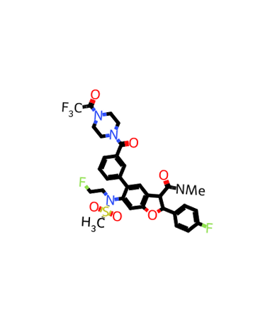 CNC(=O)C1c2cc(-c3cccc(C(=O)N4CCN(C(=O)C(F)(F)F)CC4)c3)c(N(CCF)S(C)(=O)=O)cc2OC1c1ccc(F)cc1